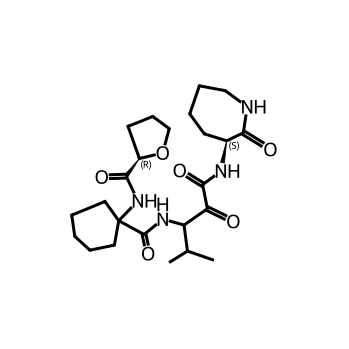 CC(C)C(NC(=O)C1(NC(=O)[C@H]2CCCO2)CCCCC1)C(=O)C(=O)N[C@H]1CCCCNC1=O